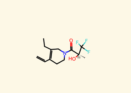 C=CC1=C(CC)CN(C(=O)[C@](C)(O)C(F)(F)F)CC1